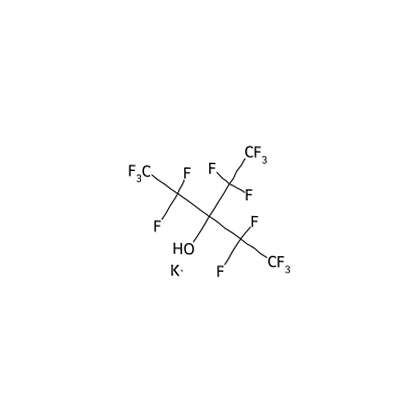 OC(C(F)(F)C(F)(F)F)(C(F)(F)C(F)(F)F)C(F)(F)C(F)(F)F.[K]